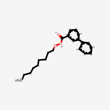 [CH2]CCCCCCCCCCCCCCCCCOOC(=O)c1cccc(-c2ccccc2)c1